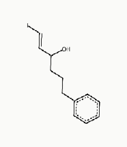 OC(C=CI)CCCc1ccccc1